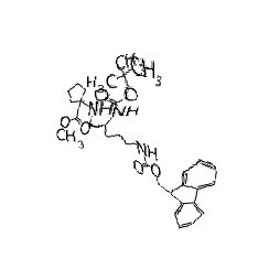 COC(=O)C1(NC[C@H](CCCNC(=O)OCC2c3ccccc3-c3ccccc32)NC(=O)OC(C)(C)C)CCCC1